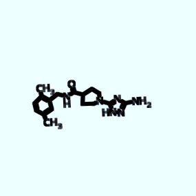 Cc1ccc(C)c(CNC(=O)C2CCN(c3nc(N)n[nH]3)CC2)c1